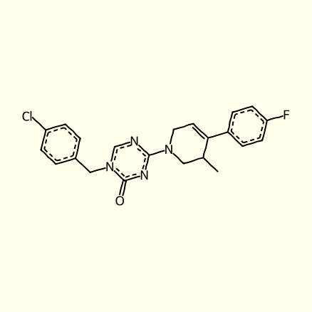 CC1CN(c2ncn(Cc3ccc(Cl)cc3)c(=O)n2)CC=C1c1ccc(F)cc1